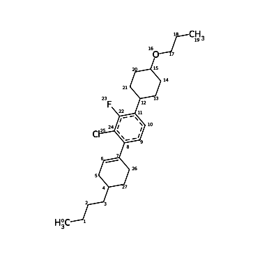 CCCCC1CC=C(c2ccc(C3CCC(OCCC)CC3)c(F)c2Cl)CC1